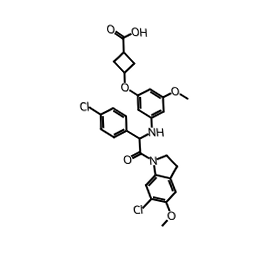 COc1cc(NC(C(=O)N2CCc3cc(OC)c(Cl)cc32)c2ccc(Cl)cc2)cc(OC2CC(C(=O)O)C2)c1